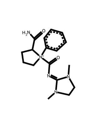 CN1CCN(C)C1=NC(=O)[N+]1(c2ccccc2)CCCC1C(N)=O